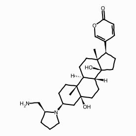 C[C@]12CC[C@H](N3CCC[C@H]3CN)C[C@@]1(O)CC[C@@H]1[C@@H]2CC[C@]2(C)[C@@H](c3ccc(=O)oc3)CC[C@]12O